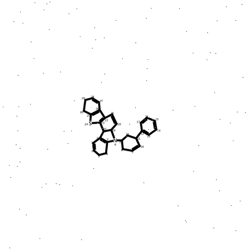 C1=CC2=C(CC1)N(C1CC=CC(c3ccccc3)C1)C1C=Cc3c(sc4c3C=CCC4)C21